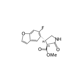 COC(=O)[C@@H]1C(=O)NC[C@H]1c1cc2ccoc2cc1F